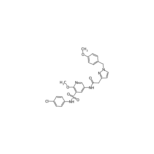 COc1ccc(Cn2ccc(CC(=O)Nc3cnc(OC)c(S(=O)(=O)Nc4ccc(Cl)cc4)c3)n2)cc1